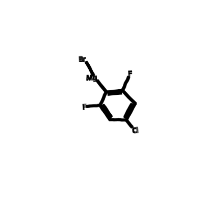 Fc1cc(Cl)cc(F)[c]1[Mg][Br]